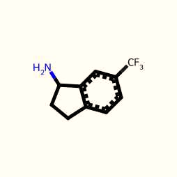 NC1CCc2ccc(C(F)(F)F)cc21